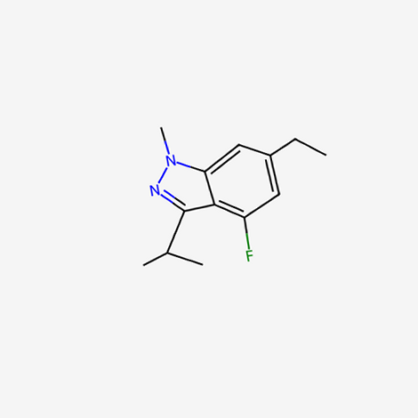 CCc1cc(F)c2c(C(C)C)nn(C)c2c1